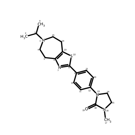 CC(C)N1CCc2nc(-c3ccc(N4CCN(C)C4=O)cc3)sc2CC1